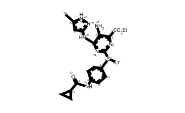 CCOC(=O)c1nc([S+]([O-])c2ccc(NC(=O)C3CC3)cc2)nc(Nc2cc(C)[nH]n2)c1N